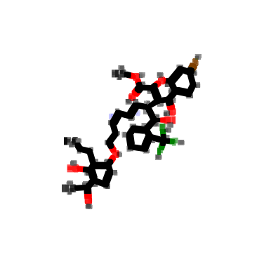 CCCc1c(OCC/C=C\C=C\[C@@H](c2c(C(=O)OC)oc3c(c2=O)=CCC(=S)C=3)[C@@H](O)c2ccccc2C(F)(F)F)ccc(C(C)=O)c1O